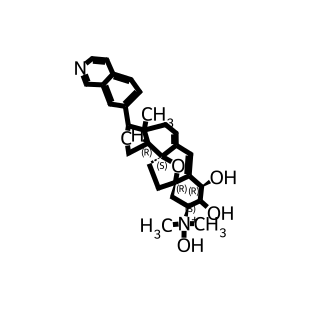 CC12CC=C3C=C4[C@@H](O)C(O)[C@@H]([N+](C)(C)O)C[C@]45CC[C@]3(O5)[C@@H]1CCC2c1ccc2ccncc2c1